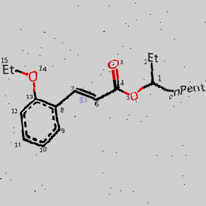 CCCCCC(CC)OC(=O)/C=C/c1ccccc1OCC